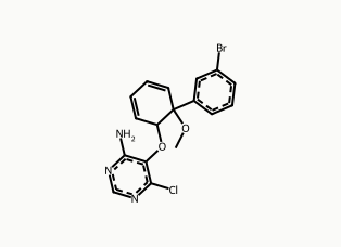 COC1(c2cccc(Br)c2)C=CC=CC1Oc1c(N)ncnc1Cl